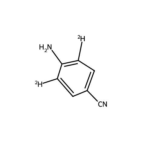 [2H]c1cc(C#N)cc([2H])c1N